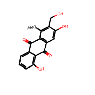 COc1c(CO)c(O)cc2c1C(=O)c1cccc(O)c1C2=O